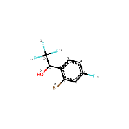 OC(c1ccc(F)cc1Br)C(F)(F)F